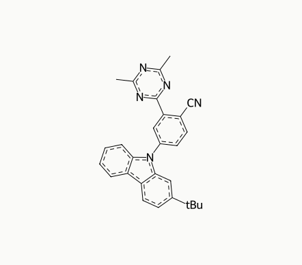 Cc1nc(C)nc(-c2cc(-n3c4ccccc4c4ccc(C(C)(C)C)cc43)ccc2C#N)n1